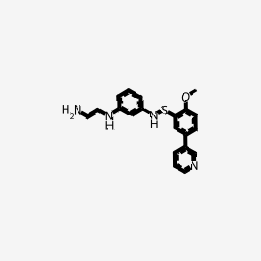 COc1ccc(-c2cccnc2)cc1SNc1cccc(NCCN)c1